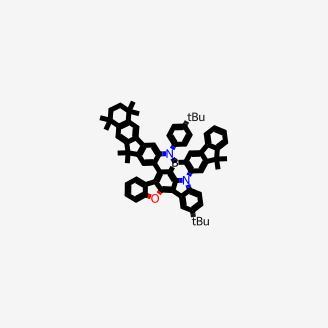 CC(C)(C)c1ccc(N2B3c4cc5c(cc4-n4c6ccc(C(C)(C)C)cc6c6c7oc8ccccc8c7c(c3c64)-c3cc4c(cc32)-c2cc3c(cc2C4(C)C)C(C)(C)CCC3(C)C)C(C)(C)c2ccccc2-5)cc1